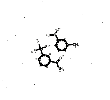 Cc1cccc([N+](=O)[O-])c1.NC(=O)c1cccc(C(F)(F)F)c1